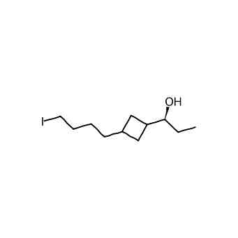 CC[C@H](O)C1CC(CCCCI)C1